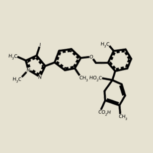 CC1=C(C(=O)O)CC(C(=O)O)(c2cccc(C)c2COc2ccc(-c3nn(C)c(C)c3I)cc2C)C=C1